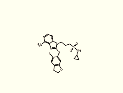 Nc1ncnc2c1nc(Sc1cc3c(cc1I)CCO3)n2CCCS(=O)(=O)NC1CC1